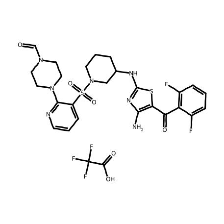 Nc1nc(NC2CCCN(S(=O)(=O)c3cccnc3N3CCN(C=O)CC3)C2)sc1C(=O)c1c(F)cccc1F.O=C(O)C(F)(F)F